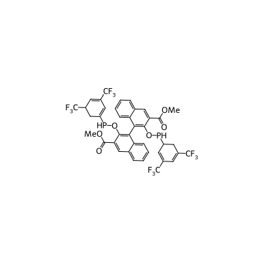 COC(=O)c1cc2ccccc2c(-c2c(OPC3C=C(C(F)(F)F)C=C(C(F)(F)F)C3)c(C(=O)OC)cc3ccccc23)c1OPC1=CC(C(F)(F)F)=CC(C(F)(F)F)C1